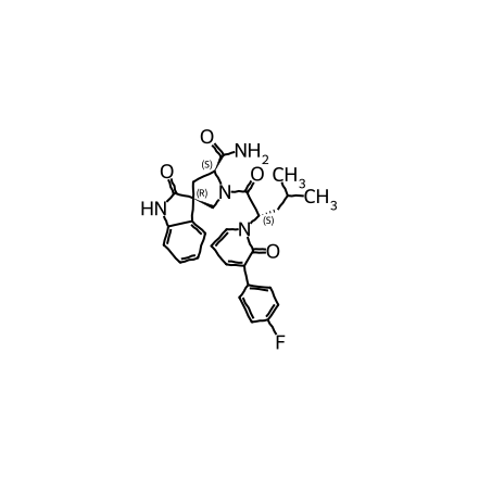 CC(C)C[C@@H](C(=O)N1C[C@]2(C[C@H]1C(N)=O)C(=O)Nc1ccccc12)n1cccc(-c2ccc(F)cc2)c1=O